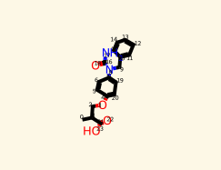 CC(COc1ccc(N(Cc2ccccc2)C(N)=O)cc1)C(=O)O